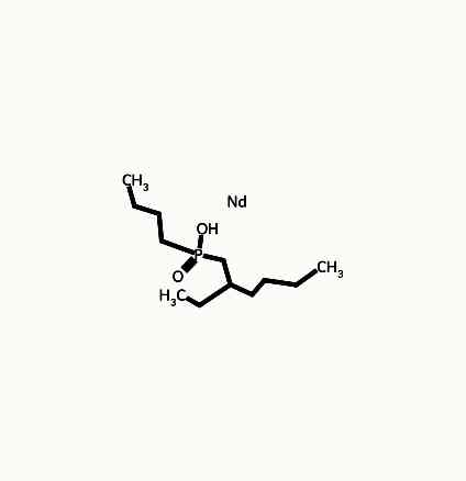 CCCCC(CC)CP(=O)(O)CCCC.[Nd]